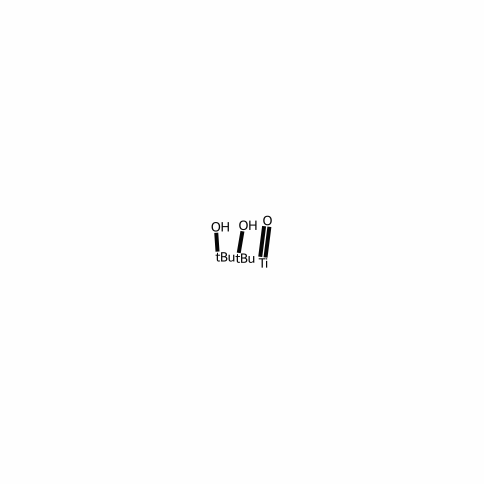 CC(C)(C)O.CC(C)(C)O.[O]=[Ti]